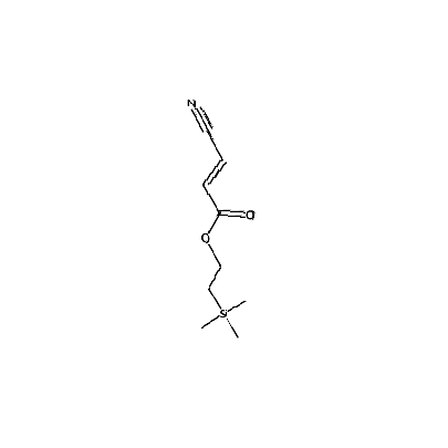 C[Si](C)(C)CCOC(=O)C=CC#N